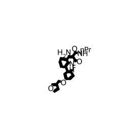 CCCNC(=O)c1c(N)c2cccc(-c3cc(OCc4ccoc4)ccc3F)c2[nH]c1=O